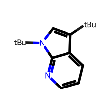 CC(C)(C)c1cn(C(C)(C)C)c2ncccc12